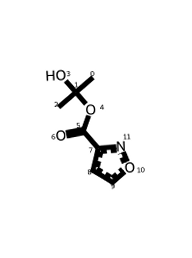 CC(C)(O)OC(=O)c1ccon1